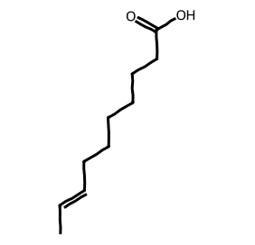 C/C=C/CCCCCCC(=O)O